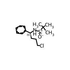 CC(C)(C)[S@+]([O-])N[C@@H](CCCCl)c1ccccc1